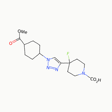 COC(=O)C1CCC(n2cc(C3(F)CCN(C(=O)O)CC3)nn2)CC1